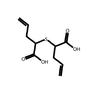 C=CCC(SC(CC=C)C(=O)O)C(=O)O